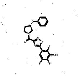 O=C(c1noc(-c2cc(F)c(F)c(O)c2F)n1)N1CC[C@H](Oc2ccccc2)C1